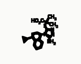 Bc1nnc(SC(C)(C)C(=O)O)n1-c1ccc(C2CC2)c2ccccc12